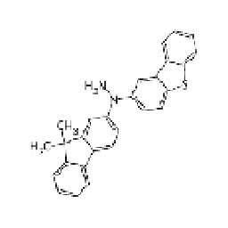 CC1(C)c2ccccc2-c2ccc(N(N)c3ccc4sc5ccccc5c4c3)cc21